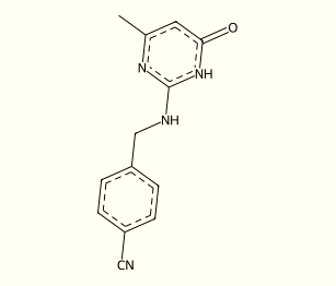 Cc1cc(=O)[nH]c(NCc2ccc(C#N)cc2)n1